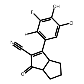 N#CC1=C(c2cc(Cl)c(O)c(F)c2F)C2CCCC2C1=O